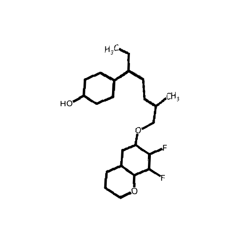 CCC(CCC(C)COC1CC2CCCOC2C(F)C1F)C1CCC(O)CC1